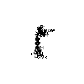 COC(=O)NC(C(=O)N1CC=C[C@H]1c1ncc(-c2ccc(-c3ccc(-c4cnc([C@@H]5CN(S(=O)(=O)C(C)C)CN5C(=O)[C@@H](NC(=O)OC)C(C)C)[nH]4)cc3)cc2)[nH]1)C(C)C